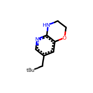 CC(C)(C)Cc1cnc2c(c1)OCCN2